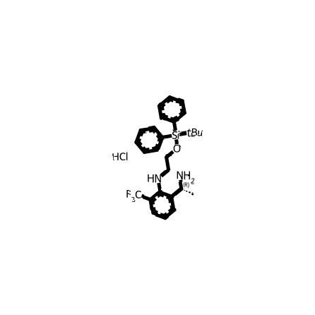 C[C@@H](N)c1cccc(C(F)(F)F)c1NCCO[Si](c1ccccc1)(c1ccccc1)C(C)(C)C.Cl